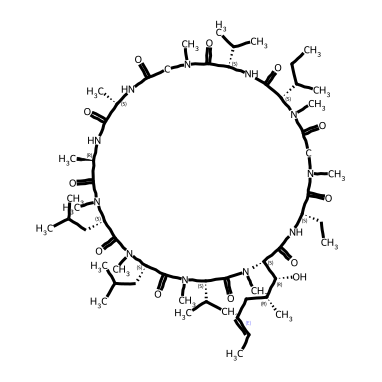 C/C=C/C[C@@H](C)[C@@H](O)[C@H]1C(=O)N[C@@H](CC)C(=O)N(C)CC(=O)N(C)[C@@H](C(C)CC)C(=O)N[C@@H](C(C)C)C(=O)N(C)CC(=O)N[C@@H](C)C(=O)N[C@H](C)C(=O)N(C)[C@@H](CC(C)C)C(=O)N(C)[C@@H](CC(C)C)C(=O)N(C)[C@@H](C(C)C)C(=O)N1C